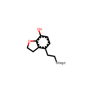 CCCCCCCCCc1ccc(O)c2c1CCO2